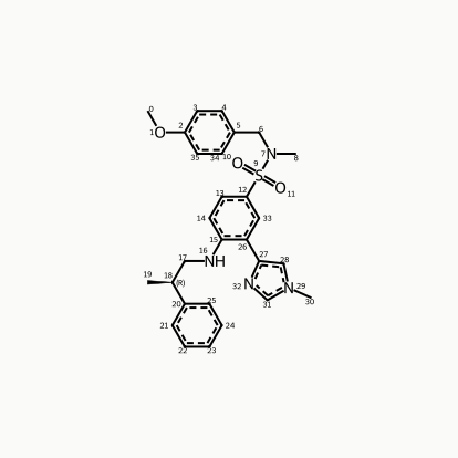 COc1ccc(CN(C)S(=O)(=O)c2ccc(NC[C@H](C)c3ccccc3)c(-c3cn(C)cn3)c2)cc1